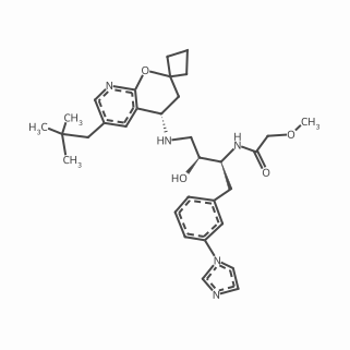 COCC(=O)N[C@@H](Cc1cccc(-n2ccnc2)c1)[C@@H](O)CN[C@H]1CC2(CCC2)Oc2ncc(CC(C)(C)C)cc21